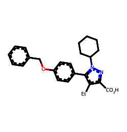 CCc1c(C(=O)O)nn(C2CCCCC2)c1-c1ccc(OCc2ccccc2)cc1